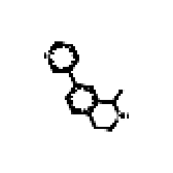 CC1NCCc2ccc(-c3cccnc3)cc21